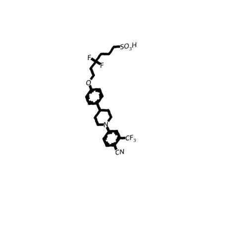 N#Cc1ccc(N2CCC(c3ccc(OCCC(F)(F)CCCS(=O)(=O)O)cc3)CC2)cc1C(F)(F)F